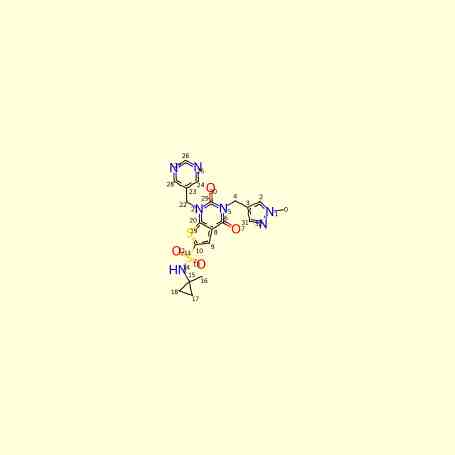 Cn1cc(Cn2c(=O)c3cc(S(=O)(=O)NC4(C)CC4)sc3n(Cc3cncnc3)c2=O)cn1